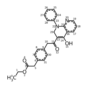 CCOC(=O)Cc1ccc(CC(=O)C2=C(O)c3cccnc3N(c3ccccc3)C2)cc1